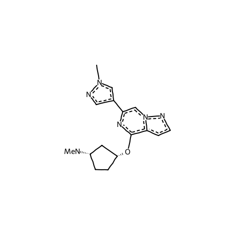 CN[C@H]1CC[C@@H](Oc2nc(-c3cnn(C)c3)cn3nccc23)C1